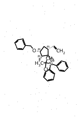 C=C[C@H]1C[C@@H](OCc2ccccc2)[C@@H](F)[C@@H]1O[Si](c1ccccc1)(c1ccccc1)C(C)(C)C